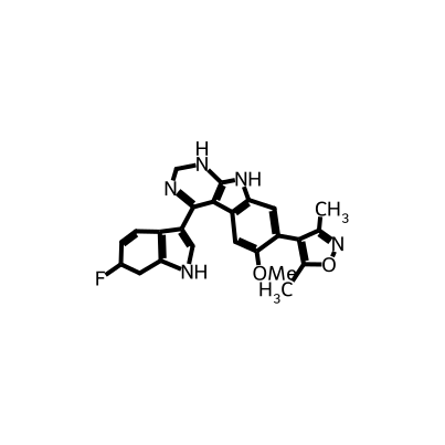 COc1cc2c3c([nH]c2cc1-c1c(C)noc1C)NCN=C3c1c[nH]c2c1C=CC(F)C2